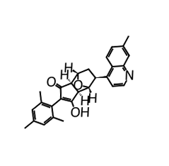 Cc1cc(C)c(C2=C(O)[C@@H]3[C@@H]4O[C@@H](C[C@H]4c4ccnc5cc(C)ccc45)[C@@H]3C2=O)c(C)c1